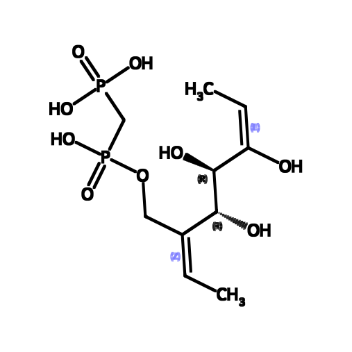 C/C=C(/COP(=O)(O)CP(=O)(O)O)[C@@H](O)[C@@H](O)/C(O)=C\C